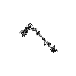 C=CC(=O)Nc1cc(N2CCN(C(=O)CCCC(=O)NCCCOCCOCCOCCCNC(=O)CCCC[C@@H]3SC[C@@H]4NC(=O)N[C@@H]43)CC2)ccc1Nc1ncc2c(n1)N(C)C(=O)N(c1c(C)c(OC)cc(OC)c1C)C2